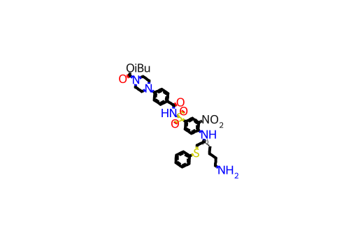 CC(C)COC(=O)N1CCN(c2ccc(C(=O)NS(=O)(=O)c3ccc(N[C@H](CCCCN)CSc4ccccc4)c([N+](=O)[O-])c3)cc2)CC1